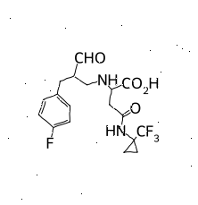 O=CC(CNC(CC(=O)NC1(C(F)(F)F)CC1)C(=O)O)Cc1ccc(F)cc1